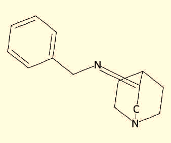 c1ccc(C/N=C2\CN3CCC2CC3)cc1